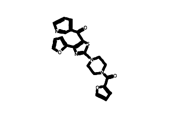 O=C(c1cccnc1)c1sc(N2CCN(C(=O)c3ccco3)CC2)nc1-c1ccco1